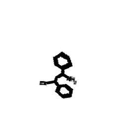 CCC(CC(N)c1cc[c]cc1)c1ccccc1